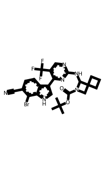 CC(C)(C)OC(=O)N1CC2(CCC2)C1Nc1ncc(C(F)(F)F)c(-c2c[nH]c3c(Br)c(C#N)ccc23)n1